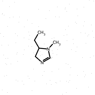 CCC1CN=[C]N1C